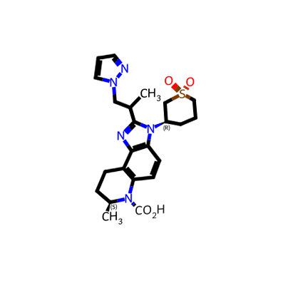 CC(Cn1cccn1)c1nc2c3c(ccc2n1[C@@H]1CCCS(=O)(=O)C1)N(C(=O)O)[C@@H](C)CC3